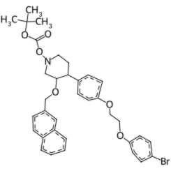 CC(C)(C)OC(=O)ON1CCC(c2ccc(OCCOc3ccc(Br)cc3)cc2)C(OCc2ccc3ccccc3c2)C1